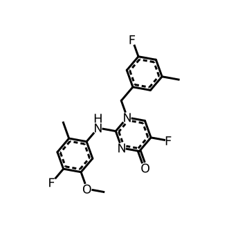 COc1cc(Nc2nc(=O)c(F)cn2Cc2cc(C)cc(F)c2)c(C)cc1F